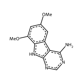 COc1cc(OC)c2[nH]c3ncnc(N)c3c2c1